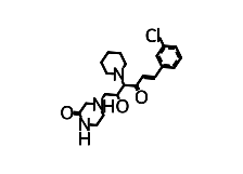 O=C1CN(CC(O)C(C(=O)/C=C/c2cccc(Cl)c2)N2CCCCC2)CCN1